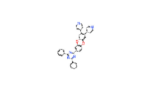 c1ccc(-c2nc(-c3ccccc3)nc(-c3ccc4c(c3)Oc3cc(-c5ccncc5)c(-c5ccncc5)cc3O4)n2)cc1